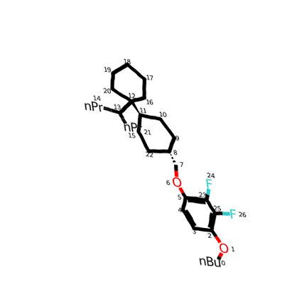 CCCCOc1ccc(OC[C@H]2CC[C@H](C3(C(CCC)CCC)CCCCC3)CC2)c(F)c1F